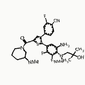 CNC1CCCN(C(=O)c2cc(-c3ccc(C#N)c(F)c3)c(-c3cc(N)c(N(CC(C)(C)O)NC)c(F)c3F)s2)C1